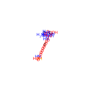 N=C(N)NCCC[C@@H]1NC(=O)[C@H](CCCNC(=O)CCOCCOCCOCCOCCOCCOCCOCCOCCNC(=O)CC[PH](=O)O)NC(=O)[C@@H](Cc2ccc(O)cc2)NC(=O)CNC(=O)[C@H](Cc2ccc3ccccc3c2)NC1=O